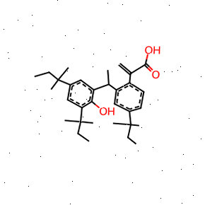 C=C(C(=O)O)c1ccc(C(C)(C)CC)cc1C(C)c1cc(C(C)(C)CC)cc(C(C)(C)CC)c1O